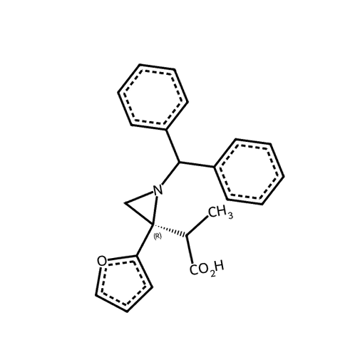 CC(C(=O)O)[C@]1(c2ccco2)CN1C(c1ccccc1)c1ccccc1